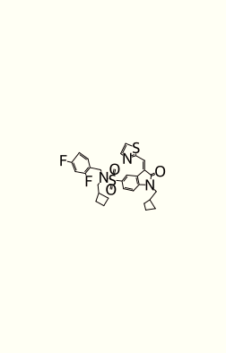 O=C1/C(=C/c2nccs2)c2cc(S(=O)(=O)N(Cc3ccc(F)cc3F)CC3CCC3)ccc2N1CC1CCC1